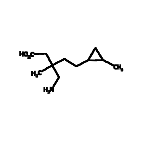 CC1CC1CCC(C)(CN)CC(=O)O